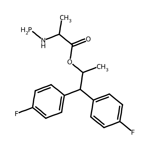 CC(NP)C(=O)OC(C)C(c1ccc(F)cc1)c1ccc(F)cc1